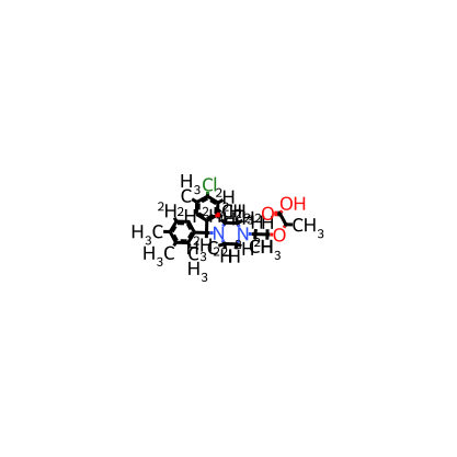 [2H]c1cc(C([2H])(c2c([2H])c([2H])c(Cl)c(C)c2[2H])N2C([2H])(C)C([2H])([2H])N(C([2H])(C)C([2H])([2H])OC(C)C(=O)O)C([2H])([2H])C2([2H])C)c(C)c(C)c1C